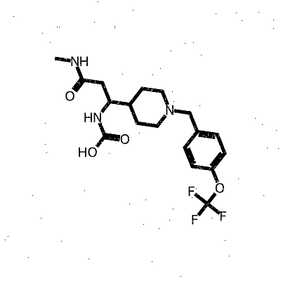 CNC(=O)CC(NC(=O)O)C1CCN(Cc2ccc(OC(F)(F)F)cc2)CC1